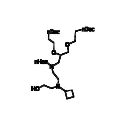 CCCCCCCCCCCCOCC(CN(CCCCCC)CCN(CCO)C1CCC1)OCCCCCCCCCCCC